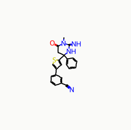 CN1C(=N)NC(c2ccccc2)(c2cc(-c3cccc(C#N)c3)cs2)CC1=O